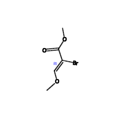 CO/C=C(\Br)C(=O)OC